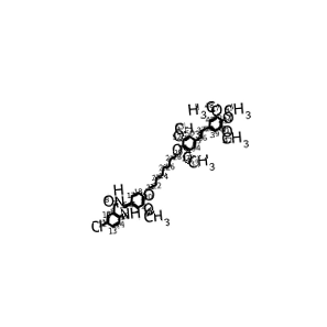 COc1cc(C2NC(=O)c3cc(Cl)ccc3N2)ccc1OCCCCCCCCOc1c(OC)cc(/C=C/c2cc(OC)c(OC)c(OC)c2)cc1OC